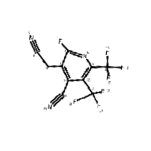 N#CCc1c(F)nc(C(F)(F)F)c(C(F)(F)F)c1C#N